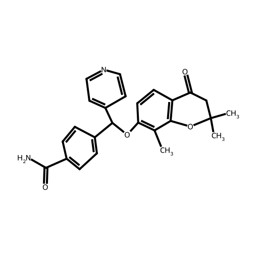 Cc1c(OC(c2ccncc2)c2ccc(C(N)=O)cc2)ccc2c1OC(C)(C)CC2=O